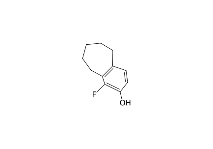 Oc1ccc2c(c1F)CCCCC2